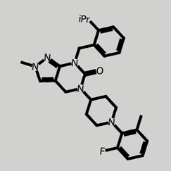 Cc1cccc(F)c1N1CCC(N2Cc3cn(C)nc3N(Cc3ccccc3C(C)C)C2=O)CC1